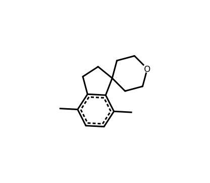 Cc1ccc(C)c2c1CCC21CCOCC1